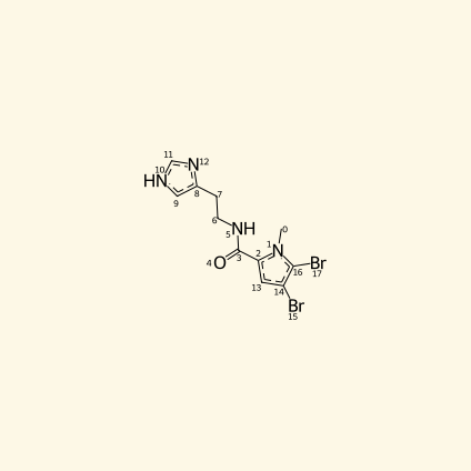 Cn1c(C(=O)NCCc2c[nH]cn2)cc(Br)c1Br